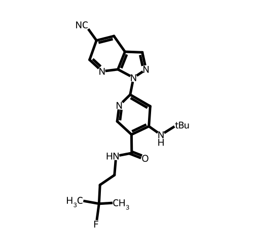 CC(C)(F)CCNC(=O)c1cnc(-n2ncc3cc(C#N)cnc32)cc1NC(C)(C)C